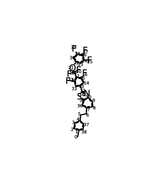 Cc1ccc(CCc2ccc3nc(-c4cc(F)c(C(F)(F)Oc5cc(F)c(F)c(F)c5)c(F)c4)sc3c2)cc1